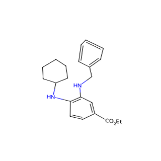 CCOC(=O)c1ccc(NC2CCCCC2)c(NCc2ccccc2)c1